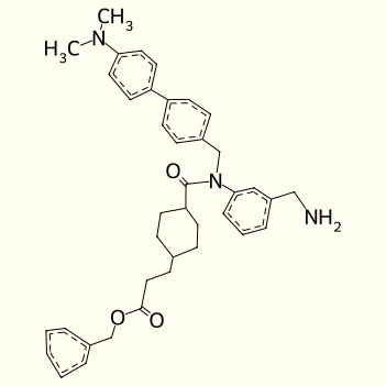 CN(C)c1ccc(-c2ccc(CN(C(=O)C3CCC(CCC(=O)OCc4ccccc4)CC3)c3cccc(CN)c3)cc2)cc1